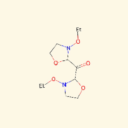 CCON1CCOC1C(=O)C1OCCN1OCC